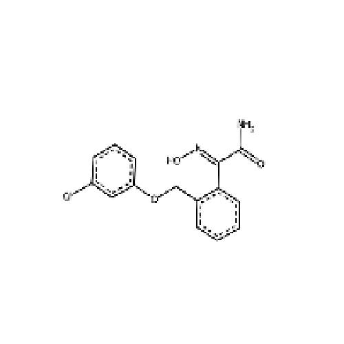 NC(=O)/C(=N/O)c1ccccc1COc1cccc(Cl)c1